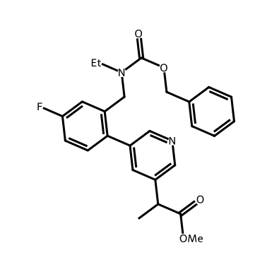 CCN(Cc1cc(F)ccc1-c1cncc(C(C)C(=O)OC)c1)C(=O)OCc1ccccc1